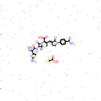 NC(=O)c1ccc(N2CC/C(=C\C3=C(C(=O)O)N4C(=O)[C@@H](NC(=O)/C(=N\O)c5csc(N)n5)[C@H]4SC3)C2=O)cc1.O=C(O)C(F)(F)F